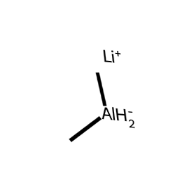 [CH3][AlH2-][CH3].[Li+]